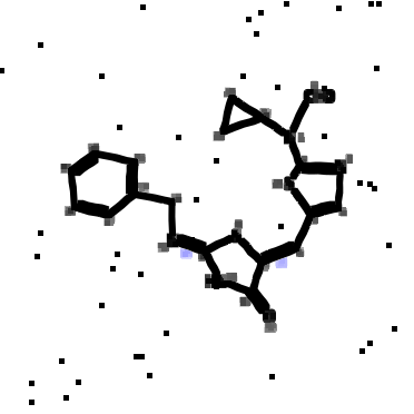 O=CN(c1ncc(/C=C2\S/C(=N\Cc3ccccc3)NC2=O)s1)C1CC1